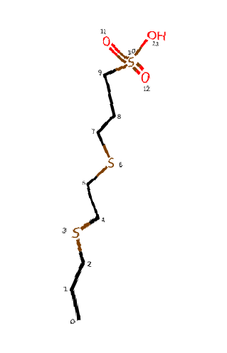 CCCSCCSCCCS(=O)(=O)O